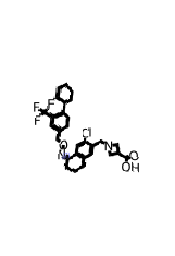 O=C(O)C1CN(Cc2cc3c(cc2Cl)/C(=N\OCc2ccc(C4CCCCC4)c(C(F)(F)F)c2)CCC3)C1